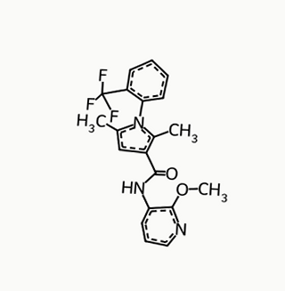 COc1ncccc1NC(=O)c1cc(C)n(-c2ccccc2C(F)(F)F)c1C